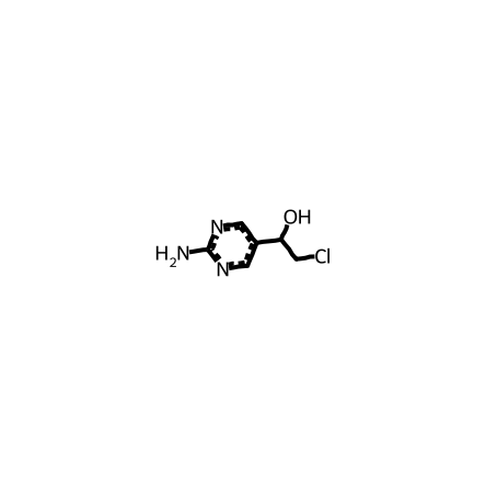 Nc1ncc(C(O)CCl)cn1